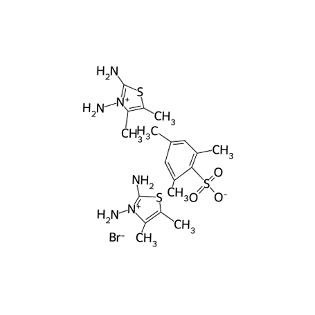 Cc1cc(C)c(S(=O)(=O)[O-])c(C)c1.Cc1sc(N)[n+](N)c1C.Cc1sc(N)[n+](N)c1C.[Br-]